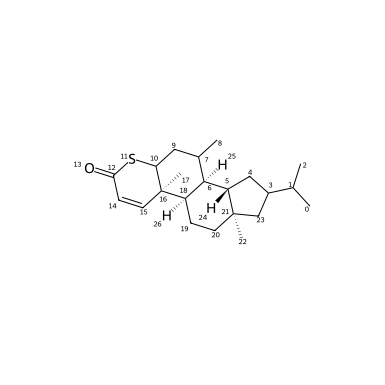 CC(C)C1C[C@H]2[C@@H]3C(C)CC4SC(=O)C=C[C@]4(C)[C@@H]3CC[C@]2(C)C1